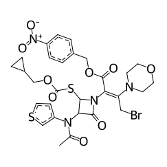 CC(=O)N(c1ccsc1)C1C(=O)N(C(C(=O)OCc2ccc([N+](=O)[O-])cc2)=C(CBr)N2CCOCC2)C1SC(=O)OCC1CC1